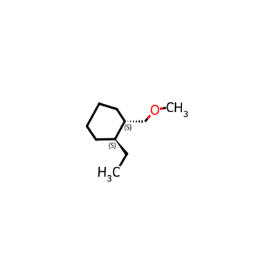 CC[C@H]1CCCC[C@@H]1COC